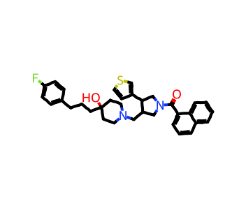 O=C(c1cccc2ccccc12)N1CC(CN2CCC(O)(CCCc3ccc(F)cc3)CC2)C(c2ccsc2)C1